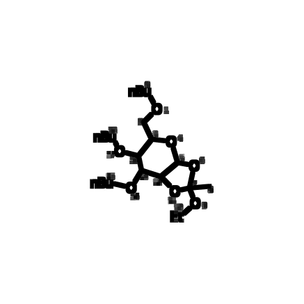 CCCCOCC1OC2OC(C)(OCC)OC2C(OCCCC)C1OCCCC